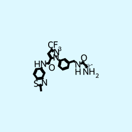 Cc1nc2cc(NC(=O)c3cc(C(F)(F)F)nn3-c3cccc(CNC(=O)[C@H](C)N)c3)ccc2s1